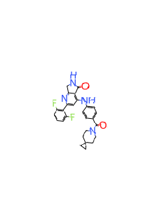 O=C1NCc2nc(-c3c(F)cccc3F)cc(Nc3ccc(C(=O)N4CCC5(CC4)CC5)cc3)c21